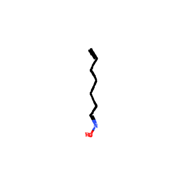 C=CCCCCC=NO